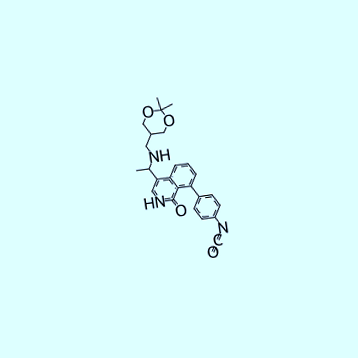 CC(NCC1COC(C)(C)OC1)c1c[nH]c(=O)c2c(-c3ccc(N=C=O)cc3)cccc12